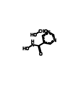 O=C(NO)c1cncnc1.O=CO